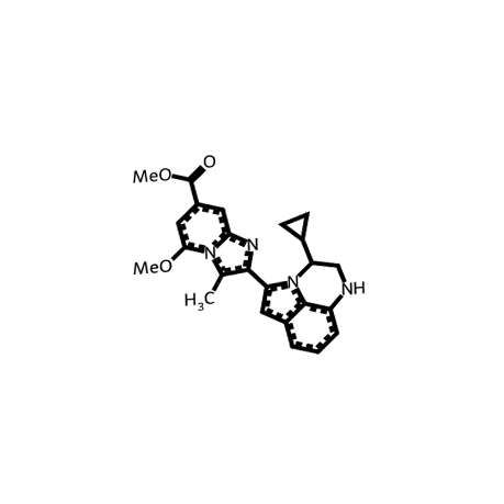 COC(=O)c1cc(OC)n2c(C)c(-c3cc4cccc5c4n3C(C3CC3)CN5)nc2c1